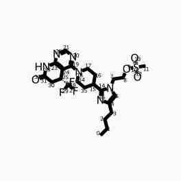 CCCCc1cn(CCOS(C)(=O)=O)c(C2CCN(c3ncnc4c3[C@H](C(F)(F)F)CC(=O)N4)CC2)n1